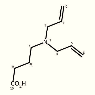 C=CCN(CC=C)CCCC(=O)O